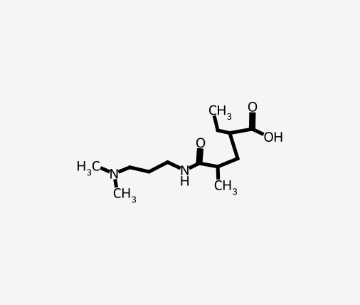 CCC(CC(C)C(=O)NCCCN(C)C)C(=O)O